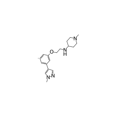 CN1CCC(NCCOc2c[c]cc(-c3cnn(C)c3)c2)CC1